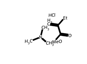 C=C(CC)C(=O)OC.CN(C)C.Cl